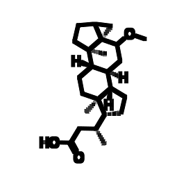 COC1C[C@H]2[C@@H]3CC[C@H]([C@H](C)CC(=O)O)[C@@]3(C)CC[C@@H]2[C@@]2(C)CCC3C[C@]312